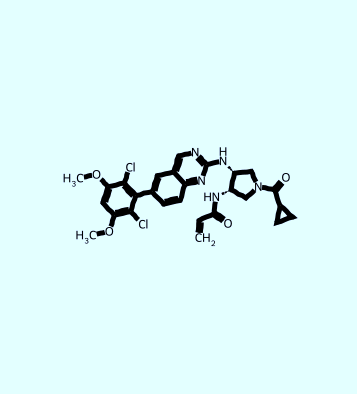 C=CC(=O)N[C@H]1CN(C(=O)C2CC2)C[C@H]1Nc1ncc2cc(-c3c(Cl)c(OC)cc(OC)c3Cl)ccc2n1